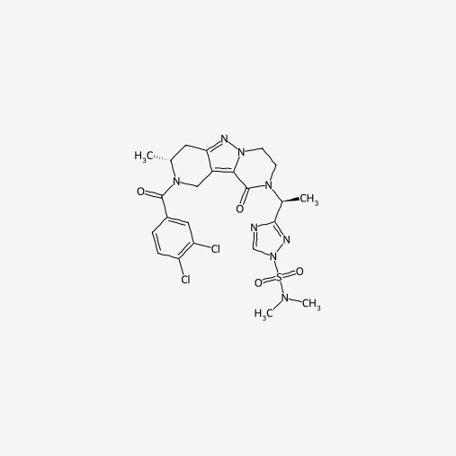 C[C@@H]1Cc2nn3c(c2CN1C(=O)c1ccc(Cl)c(Cl)c1)C(=O)N([C@@H](C)c1ncn(S(=O)(=O)N(C)C)n1)CC3